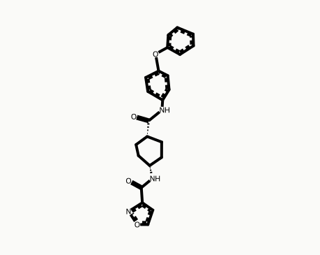 O=C(N[C@H]1CC[C@@H](C(=O)Nc2ccc(Oc3ccccc3)cc2)CC1)c1ccon1